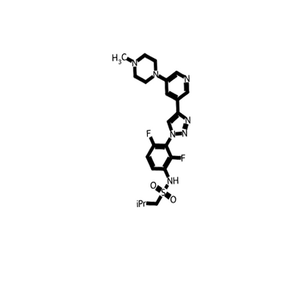 CC(C)CS(=O)(=O)Nc1ccc(F)c(-n2cc(-c3cncc(N4CCN(C)CC4)c3)nn2)c1F